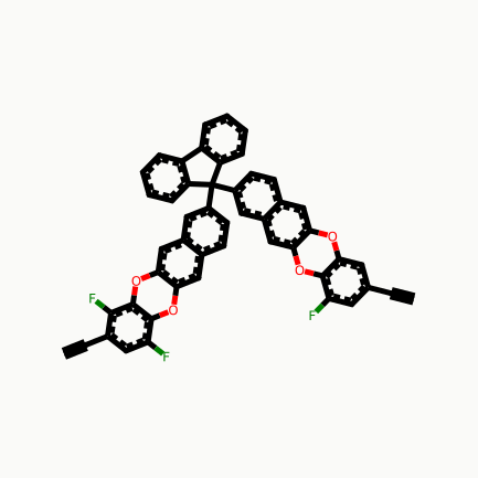 C#Cc1cc(F)c2c(c1)Oc1cc3ccc(C4(c5ccc6cc7c(cc6c5)Oc5c(F)c(C#C)cc(F)c5O7)c5ccccc5-c5ccccc54)cc3cc1O2